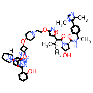 Cc1ncn(C)c1-c1ccc([C@H](C)NC(=O)[C@@H]2C[C@@H](O)CN2C(=O)[C@H](c2cc(OCCN3CCC(OC4CC(Oc5cc(N6C7CC[C@@H]6CN(c6cc(-c8ccccc8O)nnc6N)C7)ccn5)C4)CC3)no2)C(C)C)cc1